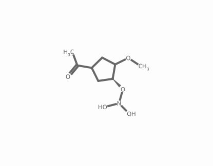 COC1CC(C(C)=O)C[C@@H]1ON(O)O